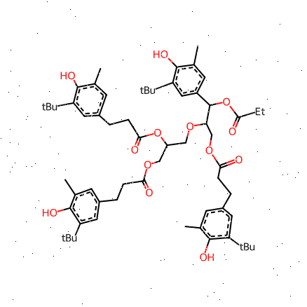 CCC(=O)OC(c1cc(C)c(O)c(C(C)(C)C)c1)C(COC(=O)CCc1cc(C)c(O)c(C(C)(C)C)c1)OCC(COC(=O)CCc1cc(C)c(O)c(C(C)(C)C)c1)OC(=O)CCc1cc(C)c(O)c(C(C)(C)C)c1